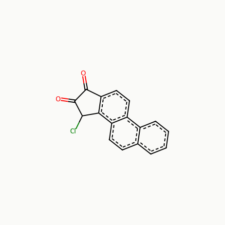 O=C1C(=O)C(Cl)c2c1ccc1c2ccc2ccccc21